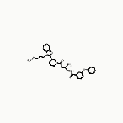 COCCCn1c([C@@H]2CCCN(C(=O)C[C@@H](N)CNC(=O)c3cccc(Oc4ccccc4)c3)C2)nc2ccccc21